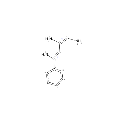 N/C=C(N)\C=C(/N)c1ccccc1